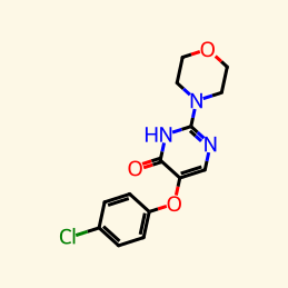 O=c1[nH]c(N2CCOCC2)ncc1Oc1ccc(Cl)cc1